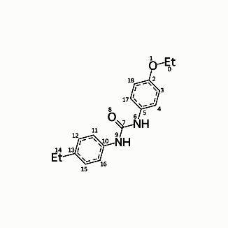 CCOc1ccc(NC(=O)Nc2ccc(CC)cc2)cc1